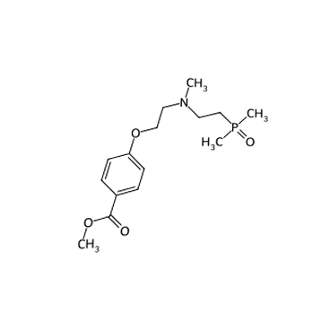 COC(=O)c1ccc(OCCN(C)CCP(C)(C)=O)cc1